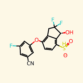 N#Cc1cc(F)cc(Oc2ccc([SH](=O)=O)c3c2CC(F)(F)[C@H]3O)c1